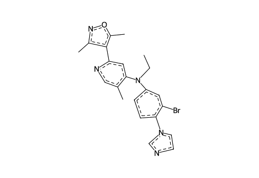 CCN(c1ccc(-n2ccnc2)c(Br)c1)c1cc(-c2c(C)noc2C)ncc1C